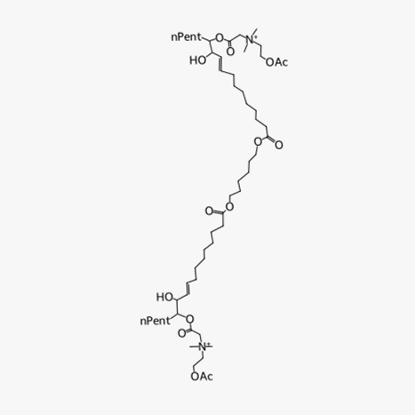 CCCCCC(OC(=O)C[N+](C)(C)CCOC(C)=O)C(O)C=CCCCCCCCC(=O)OCCCCCCOC(=O)CCCCCCCC=CC(O)C(CCCCC)OC(=O)C[N+](C)(C)CCOC(C)=O